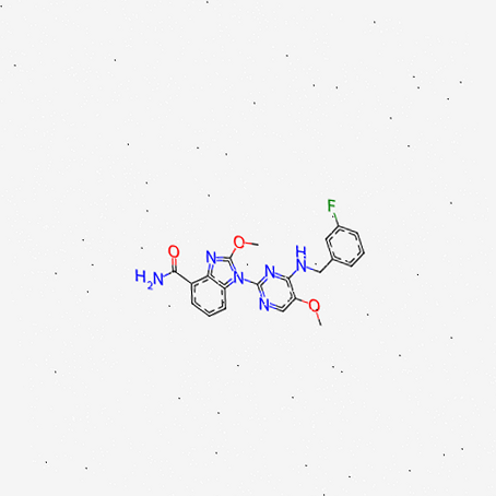 COc1cnc(-n2c(OC)nc3c(C(N)=O)cccc32)nc1NCc1cccc(F)c1